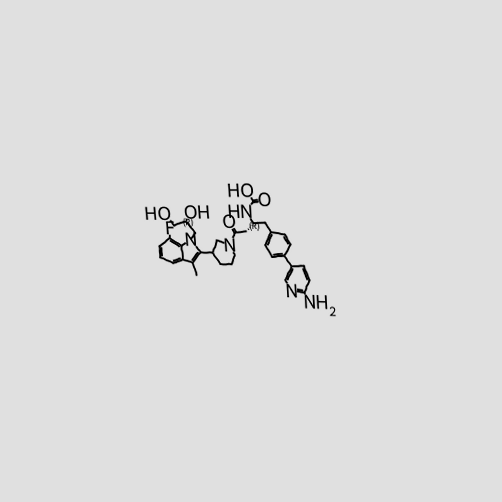 Cc1c(C2CCCN(C(=O)C[C@@H](Cc3ccc(-c4ccc(N)nc4)cc3)NC(=O)O)C2)n(C[C@@H](O)CO)c2c(F)cccc12